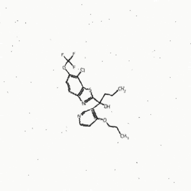 CCCOc1ccncc1C(O)(CCC)c1nc2ccc(OC(F)(F)F)c(Cl)c2s1